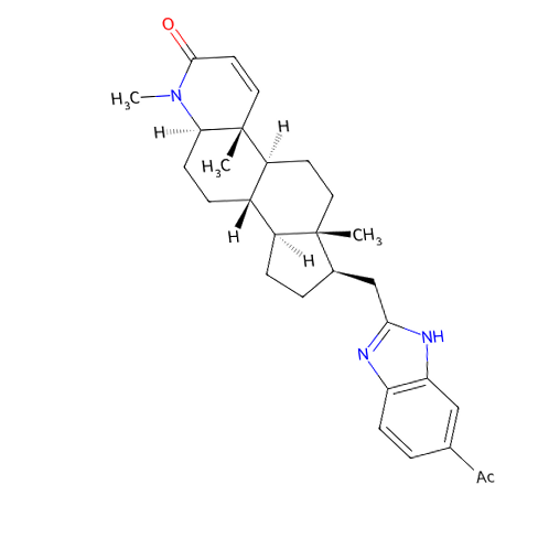 CC(=O)c1ccc2nc(C[C@H]3CC[C@H]4[C@@H]5CC[C@H]6N(C)C(=O)C=C[C@]6(C)[C@H]5CC[C@]34C)[nH]c2c1